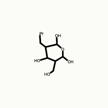 CC(C)CC1C(O)OC(O)C(CO)C1O